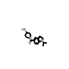 CC(C)N1CCc2cc(C(=O)N3CCC(O)CC3)ccc21